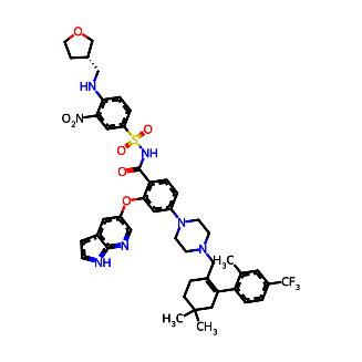 Cc1cc(C(F)(F)F)ccc1C1=C(CN2CCN(c3ccc(C(=O)NS(=O)(=O)c4ccc(NC[C@@H]5CCOC5)c([N+](=O)[O-])c4)c(Oc4cnc5[nH]ccc5c4)c3)CC2)CCC(C)(C)C1